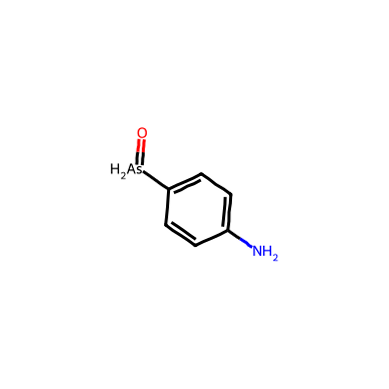 Nc1ccc([AsH2]=O)cc1